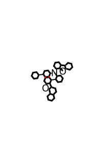 c1ccc(-c2ccc(N(c3ccccc3-c3cccc4oc5c6ccccc6ccc5c34)c3cccc4c3oc3ccccc34)cc2)cc1